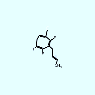 C/C=C/CC1=C(F)C(F)=CCC(F)=C1F